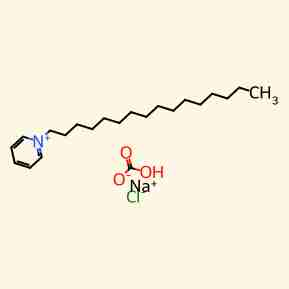 CCCCCCCCCCCCCCCC[n+]1ccccc1.O=C([O-])O.[Cl-].[Na+]